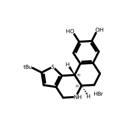 Br.CC(C)(C)c1cc2c(s1)[C@@H]1c3cc(O)c(O)cc3CC[C@H]1NC2